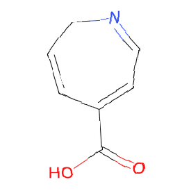 O=C(O)C1=CC=NCC=C1